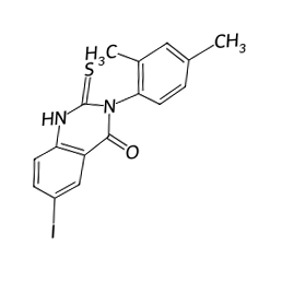 Cc1ccc(-n2c(=S)[nH]c3ccc(I)cc3c2=O)c(C)c1